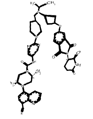 CC(C)N(CC1CCN(c2ncc(NC(=O)N3C[C@H](C)N(c4ccc(C#N)c5ncccc45)C[C@H]3C)cn2)CC1)C1CC(Oc2ccc3c(c2)C(=O)N([C@@H]2CCC(=O)NC2=O)C3=O)C1